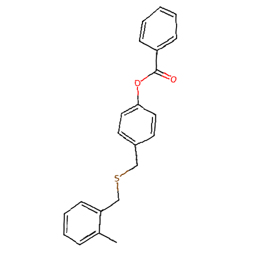 Cc1ccccc1CSCc1ccc(OC(=O)c2ccccc2)cc1